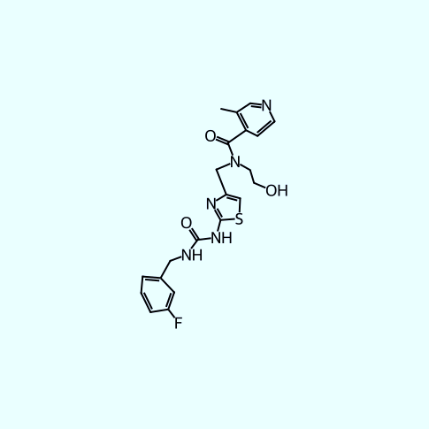 Cc1cnccc1C(=O)N(CCO)Cc1csc(NC(=O)NCc2cccc(F)c2)n1